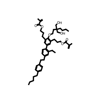 C=C(C)C(=O)OCCCc1cc(-c2ccc(CCc3ccc(CCCCC)cc3)cc2CC)cc(CCCOC(=O)C(=C)C)c1OCCC(CO)(CO)CCCC